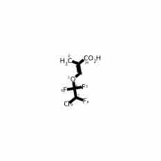 CC(=COC(F)(F)C(F)Cl)C(=O)O